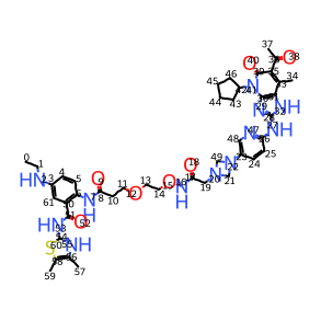 CCNc1ccc(NC(=O)CCOCCONC(=O)CN2CN(c3ccc(Nc4nc5c([nH]4)c(C)c(C(C)=O)c(=O)n5C4CCCC4)nc3)C2)c(C(=O)NC2NC(C)=C(C)S2)c1